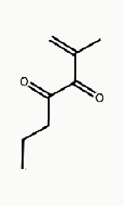 [CH2]CCC(=O)C(=O)C(=C)C